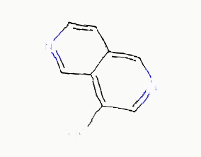 O=Cc1cncc2ccncc12